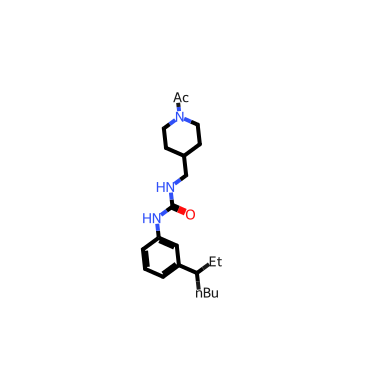 CCCCC(CC)c1cccc(NC(=O)NCC2CCN(C(C)=O)CC2)c1